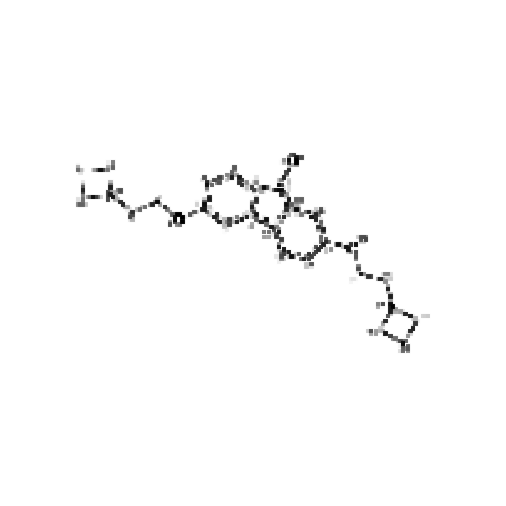 [O-][s+]1c2ccc(OCCN3CCC3)cc2c2ccc(OCCN3CCC3)cc21